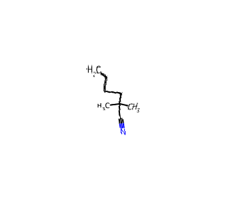 [CH2]CCCC(C)(C)C#N